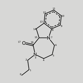 CCCN1CCCN2c3ccccc3CC2C1=O